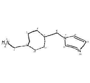 NCC1CCC(Cn2ccnc2)CC1